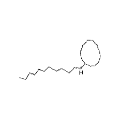 CCCCCCCCCCCPC1CCCCCCCCCCC1